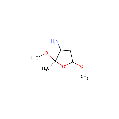 COC1CC(N)C(C)(OC)O1